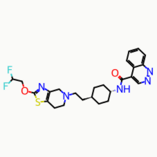 O=C(N[C@H]1CC[C@H](CCN2CCc3sc(OCC(F)F)nc3C2)CC1)c1cnnc2ccccc12